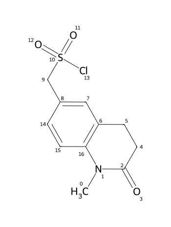 CN1C(=O)CCc2cc(CS(=O)(=O)Cl)ccc21